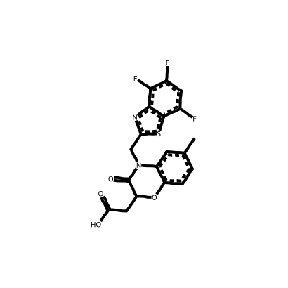 Cc1ccc2c(c1)N(Cc1nc3c(F)c(F)cc(F)c3s1)C(=O)C(CC(=O)O)O2